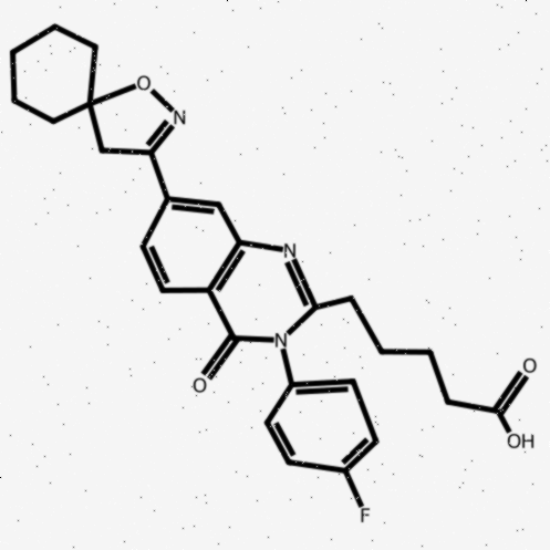 O=C(O)CCCCc1nc2cc(C3=NOC4(CCCCC4)C3)ccc2c(=O)n1-c1ccc(F)cc1